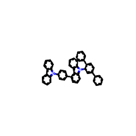 c1ccc(-c2ccc(-c3ccccc3)c(-n3c4ccccc4c4c(-c5ccc(-n6c7ccccc7c7ccccc76)cc5)cccc43)c2)cc1